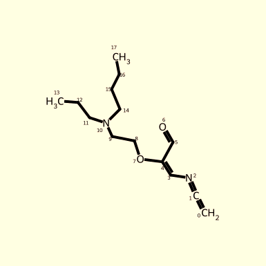 C=C=N/C=C(\C=O)OCCN(CCC)CCCC